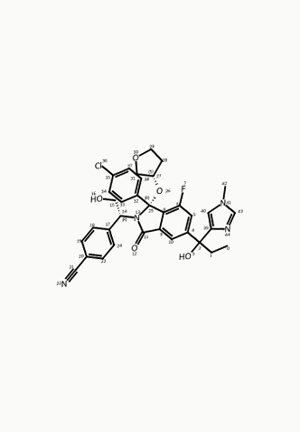 CCC(O)(c1cc(F)c2c(c1)C(=O)N([C@@H](CO)c1ccc(C#N)cc1)[C@@]2(O[C@H]1CCOC1)c1ccc(Cl)cc1)c1cn(C)cn1